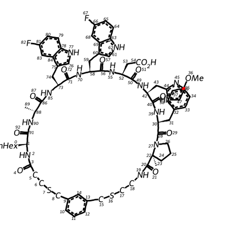 CCCCCC[C@@H]1NC(=O)CCSCc2cccc(c2)CSCCNC(=O)[C@]2(C)CCCN2C(=O)[C@H](Cc2ccc(OC)cc2)NC(=O)[C@H](Cc2ncc[nH]2)NC(=O)[C@H](CC(=O)O)NC(=O)[C@H](Cc2c[nH]c3ccc(F)cc23)NC(=O)[C@H](Cc2c[nH]c3ccc(F)cc23)NC(=O)[C@@H](C)NC1=O